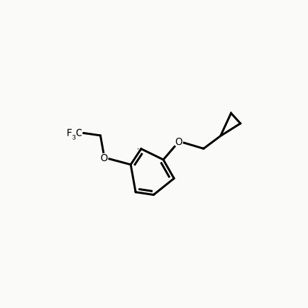 FC(F)(F)COc1[c]c(OCC2CC2)ccc1